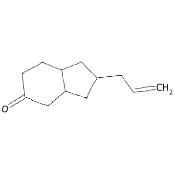 C=CCC1CC2CCC(=O)CC2C1